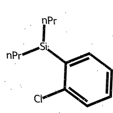 CCC[Si](CCC)c1ccccc1Cl